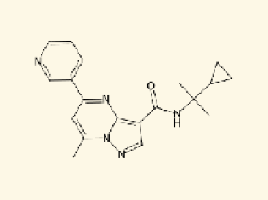 Cc1cc(-c2cccnc2)nc2c(C(=O)NC(C)(C)C3CC3)cnn12